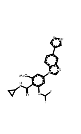 COc1cc(-n2cnc3cc(-c4cn[nH]c4)ccc32)cc(OC(F)F)c1C(=O)NC1CC1